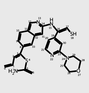 C=C/C=C(\SC(=C)N)c1ccc2cnc(N/C(=C/S)c3ccnc(N4CCOCC4)c3)cc2c1